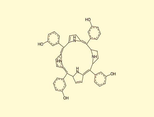 Oc1cccc(C2=C3C=CC(N3)C(c3cccc(O)c3)=c3ccc([nH]3)=C(c3cccc(O)c3)C3=CCC(=C(c4cccc(O)c4)C4CCC2N4)N3)c1